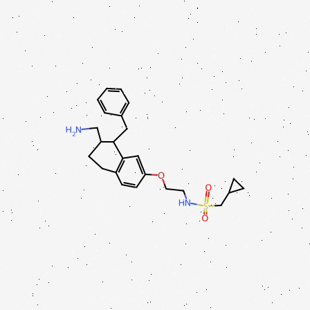 NCC1CCc2ccc(OCCNS(=O)(=O)CC3CC3)cc2C1Cc1ccccc1